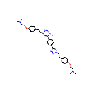 CN(C)CCOc1ccc(CCN(N)/C=C(\N)c2ccc(-c3cn(CCc4ccc(OCCN(C)C)cc4)nn3)cc2)cc1